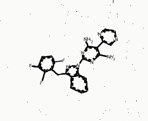 Nc1nc(-n2nc(Cc3c(F)ccc(F)c3F)c3ccccc32)nc(N)c1-c1cnccn1